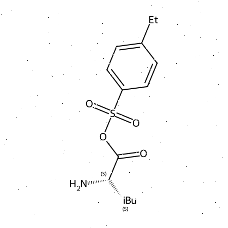 CCc1ccc(S(=O)(=O)OC(=O)[C@@H](N)[C@@H](C)CC)cc1